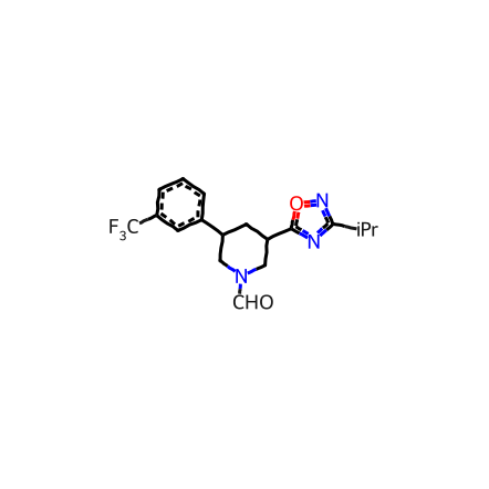 CC(C)c1noc(C2CC(c3cccc(C(F)(F)F)c3)CN(C=O)C2)n1